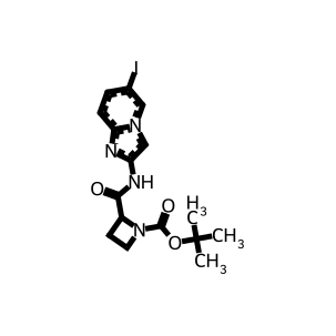 CC(C)(C)OC(=O)N1CCC1C(=O)Nc1cn2cc(I)ccc2n1